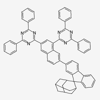 c1ccc(-c2nc(-c3ccccc3)nc(-c3cc(-c4nc(-c5ccccc5)nc(-c5ccccc5)n4)c4cc(-c5ccc6c(c5)C5(c7ccccc7-6)C6CC7CC(C6)CC5C7)ccc4c3)n2)cc1